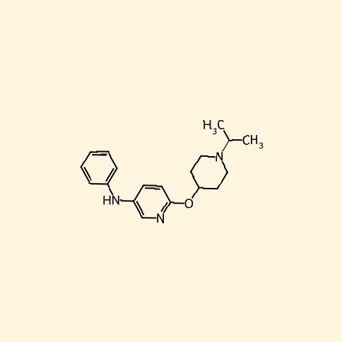 CC(C)N1CCC(Oc2ccc(Nc3ccccc3)cn2)CC1